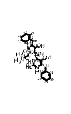 CC(C)(C)CS(=O)(=O)N[C@@H](Cc1ccccc1)C(O)CNC[C@@H](O)[C@H](Cc1ccccc1)NC(=O)O